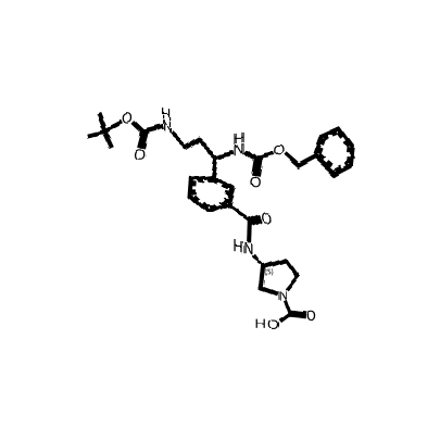 CC(C)(C)OC(=O)NCCC(NC(=O)OCc1ccccc1)c1cccc(C(=O)N[C@H]2CCN(C(=O)O)C2)c1